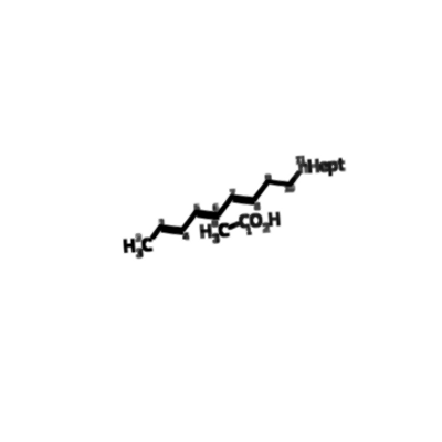 CC(=O)O.CC=CC=CC=CCCCCCCCCC